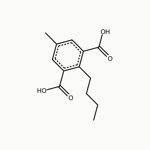 CCCCc1c(C(=O)O)cc(C)cc1C(=O)O